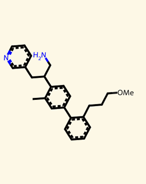 COCCCc1ccccc1-c1ccc(C(CN)Cc2cccnc2)c(C)c1